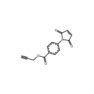 C#CCOC(=O)c1ccc(N2C(=O)C=CC2=O)cc1